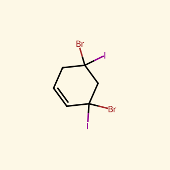 BrC1(I)C=CCC(Br)(I)C1